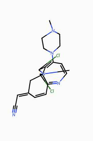 CN1CCN(C2=C3C(Cl)N(C)C(Cl)C34C/C(=C/C#N)C=CC4=NC=C2)CC1